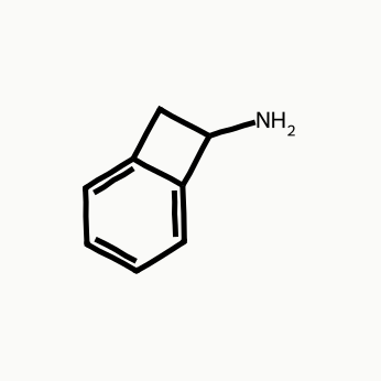 NC1Cc2ccccc21